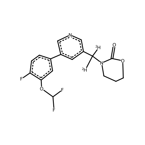 [2H]C([2H])(c1cncc(-c2ccc(F)c(OC(F)F)c2)c1)N1CCCOC1=O